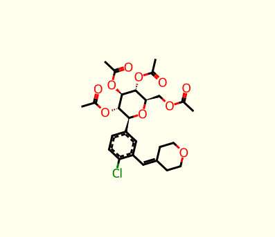 CC(=O)OC[C@H]1O[C@@H](c2ccc(Cl)c(C=C3CCOCC3)c2)[C@H](OC(C)=O)[C@@H](OC(C)=O)[C@@H]1OC(C)=O